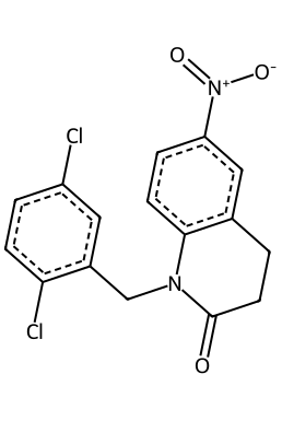 O=C1CCc2cc([N+](=O)[O-])ccc2N1Cc1cc(Cl)ccc1Cl